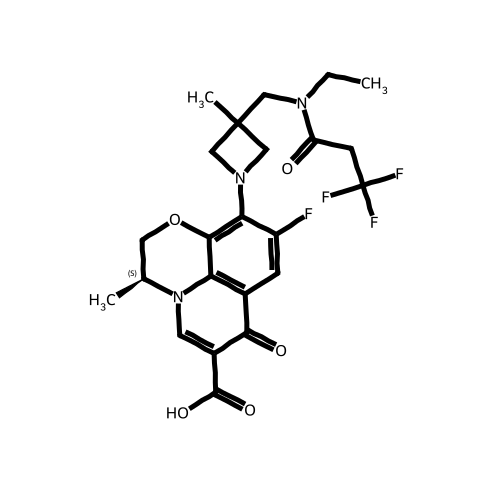 CCN(CC1(C)CN(c2c(F)cc3c(=O)c(C(=O)O)cn4c3c2OC[C@@H]4C)C1)C(=O)CC(F)(F)F